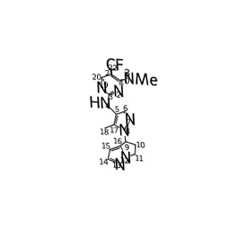 CNc1nc(Nc2cnn(C3CCn4nccc43)c2C)ncc1C(F)(F)F